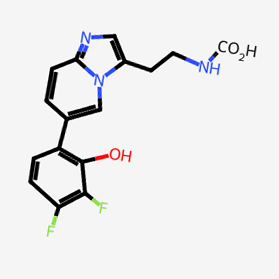 O=C(O)NCCc1cnc2ccc(-c3ccc(F)c(F)c3O)cn12